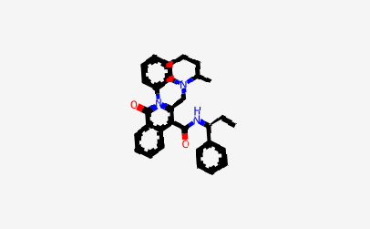 CC[C@H](NC(=O)c1c(CN2CCCCC2C)n(-c2ccccc2)c(=O)c2ccccc12)c1ccccc1